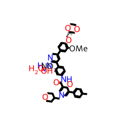 COc1cc(-c2cnc(N)c(-c3ccc(NC(=O)c4cn(CC5CCOCC5)cc(-c5ccc(C)cc5)c4=O)cc3)c2)ccc1OC[C@H]1COCCO1.O.O=[N+]([O-])O